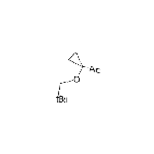 CC(=O)C1(OCC(C)(C)C)CC1